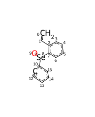 C=Cc1ccccc1[Se](=O)c1ccccc1